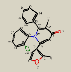 Cc1occc1-c1cc(=O)c(C)c(-c2ccccc2)n1-c1ccccc1Cl